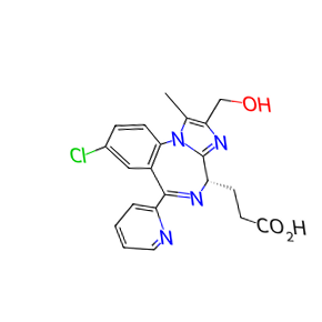 Cc1c(CO)nc2n1-c1ccc(Cl)cc1C(c1ccccn1)=N[C@H]2CCC(=O)O